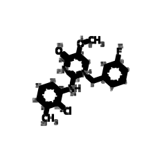 COc1cn(Cc2cccc(F)c2)c(Nc2cccc(C)c2Cl)nc1=O